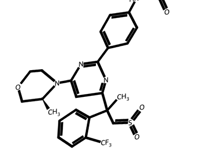 CCNC(=O)Nc1ccc(-c2nc(N3CCOC[C@@H]3C)cc(C(C)(C=S(=O)=O)c3ccccc3C(F)(F)F)n2)cc1